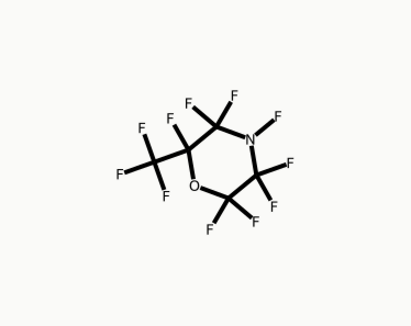 FN1C(F)(F)C(F)(F)OC(F)(C(F)(F)F)C1(F)F